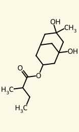 CCC(C)C(=O)OC1CC2CC(C)(O)CC(O)(C2)C1